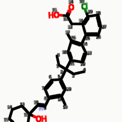 CCC(CC)(c1ccc(/C=C/C2(O)CCCCC2)c(C)c1)c1ccc(-c2cccc(Cl)c2CC(=O)O)c(C)c1